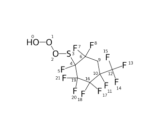 OOOSC1(F)C(F)(F)CC(F)(C(F)(F)F)C(F)(F)C1(F)F